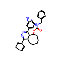 Nc1cccc(C2=NN=C(C3=CCCC=C3)C3CCCCCC(OC(=O)NCc4ccccc4)C23)c1